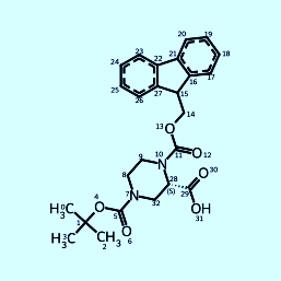 CC(C)(C)OC(=O)N1CCN(C(=O)OCC2c3ccccc3-c3ccccc32)[C@H](C(=O)O)C1